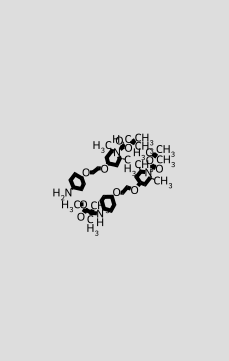 COC(=O)C(C)(C)N[C@H]1CC[C@H](OCCOC2C[C@@H](C)N(C(=O)OC(C)(C)C)[C@@H](C)C2)CC1.C[C@@H]1CC(OCCO[C@H]2CC[C@H](N)CC2)C[C@H](C)N1C(=O)OC(C)(C)C